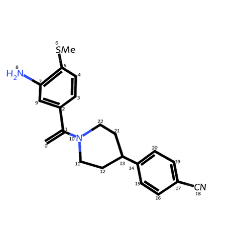 C=C(c1ccc(SC)c(N)c1)N1CCC(c2ccc(C#N)cc2)CC1